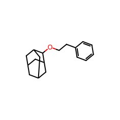 c1ccc(CCOC2C3CC4CC(C3)CC2C4)cc1